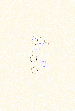 Cc1cc(NCc2ccc(-c3ccccc3-c3nnn[nH]3)cc2)c2nc(C(=O)O)ccc2n1